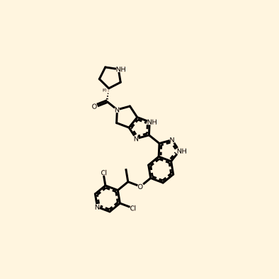 CC(Oc1ccc2[nH]nc(-c3nc4c([nH]3)CN(C(=O)[C@@H]3CCNC3)C4)c2c1)c1c(Cl)cncc1Cl